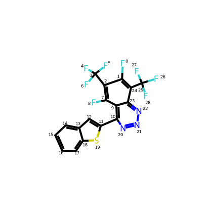 Fc1c(C(F)(F)F)c(F)c2c(-c3cc4ccccc4s3)nnnc2c1C(F)(F)F